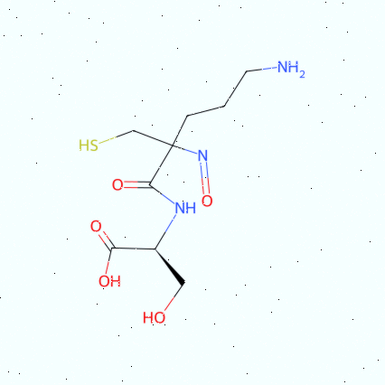 NCCCC(CS)(N=O)C(=O)N[C@@H](CO)C(=O)O